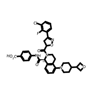 O=C(O)c1ccc(NC(=O)[C@@H]2c3cccc(N4CCC(C5COC5)CC4)c3CCN2C(=O)C2CC(c3cccc(Cl)c3F)=NO2)cc1